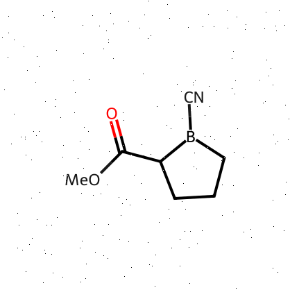 COC(=O)C1CCCB1C#N